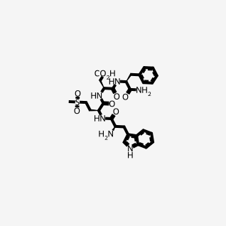 CS(=O)(=O)CC[C@H](NC(=O)[C@H](N)Cc1c[nH]c2ccccc12)C(=O)N[C@@H](CC(=O)O)C(=O)N[C@@H](Cc1ccccc1)C(N)=O